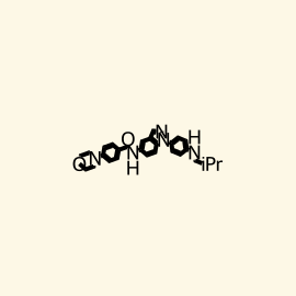 CC(C)CNc1ccc(-n2ncc3cc(NC(=O)c4ccc(N5CCOCC5)cc4)ccc32)cc1